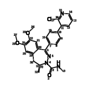 CNC(=O)N1N=C(c2ccc(-c3cccnc3Cl)cc2)c2cc(OC)c(OC)cc2C[C@@H]1C